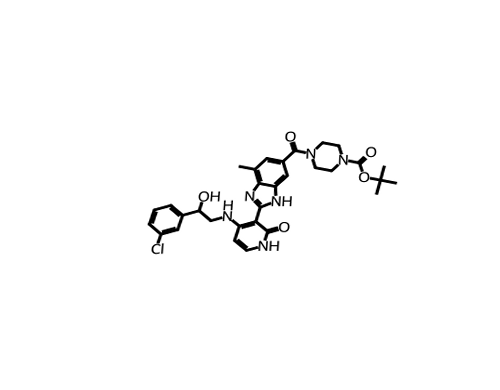 Cc1cc(C(=O)N2CCN(C(=O)OC(C)(C)C)CC2)cc2[nH]c(-c3c(NCC(O)c4cccc(Cl)c4)cc[nH]c3=O)nc12